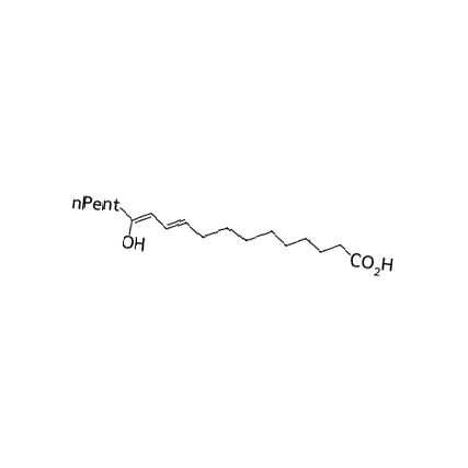 CCCCC/C(O)=C/C=C/CCCCCCCCC(=O)O